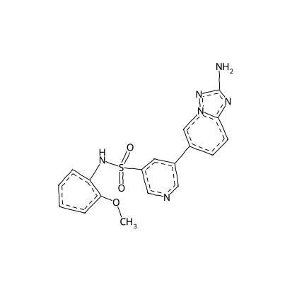 COc1ccccc1NS(=O)(=O)c1cncc(-c2ccc3nc(N)nn3c2)c1